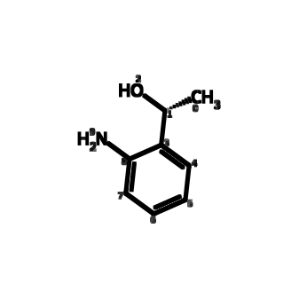 C[C@@H](O)c1ccccc1N